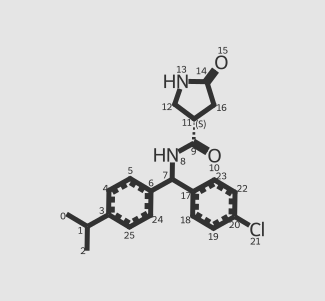 CC(C)c1ccc(C(NC(=O)[C@@H]2CNC(=O)C2)c2ccc(Cl)cc2)cc1